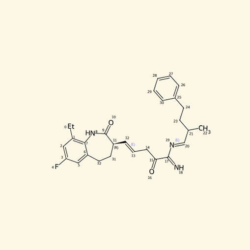 CCc1cc(F)cc2c1NC(=O)[C@@H](/C=C/CC(=O)C(=N)/N=C/C(C)CCc1ccccc1)CC2